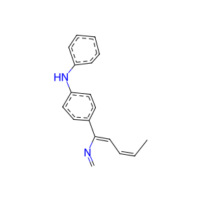 C=N/C(=C\C=C/C)c1ccc(Nc2ccccc2)cc1